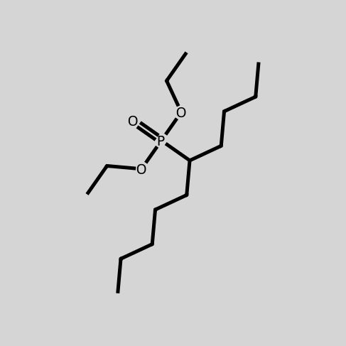 CCCCCC(CCCC)P(=O)(OCC)OCC